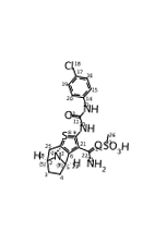 CN1[C@H]2CC[C@@H]1c1c(sc(NC(=O)Nc3ccc(Cl)cc3)c1C(N)=O)C2.CS(=O)(=O)O